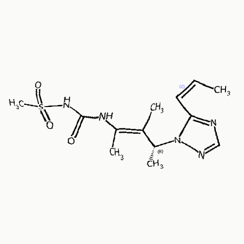 C/C=C\c1ncnn1[C@H](C)C(C)=C(C)NC(=O)NS(C)(=O)=O